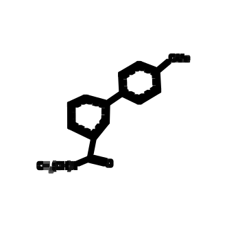 COc1ccc(-c2cccc(C(=O)N(C)O)c2)cc1